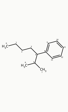 CCCCC([C](C)C)c1ccccc1